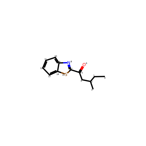 CCC(C)CC(=O)c1nc2ccccc2s1